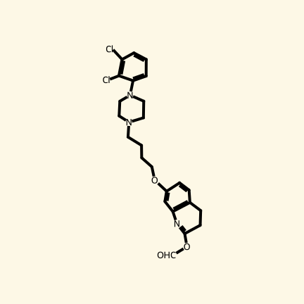 O=COC1=Nc2cc(OCCCCN3CCN(c4cccc(Cl)c4Cl)CC3)ccc2CC1